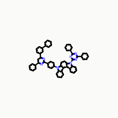 c1ccc(-c2cccc(-c3cc(-c4ccccc4)nc(-c4ccc(-n5c6ccccc6c6c7c8ccccc8n(-c8nc(-c9ccccc9)nc(-c9ccccc9)n8)c7ccc65)cc4)n3)c2)cc1